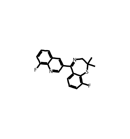 CC1(C)CN=C(c2cnc3c(F)cccc3c2)c2cccc(F)c2S1